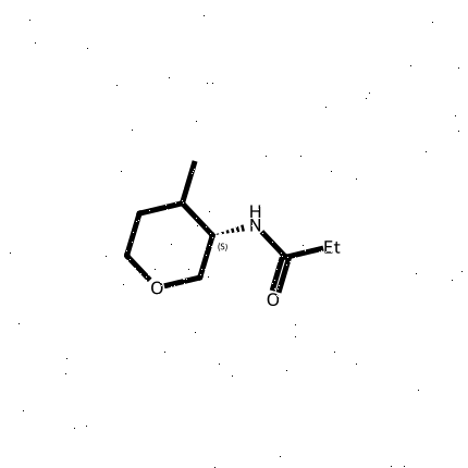 CCC(=O)N[C@@H]1COCCC1C